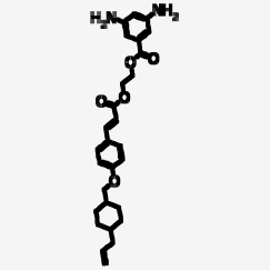 C=CCC1CCC(COc2ccc(C=CC(=O)OCCOC(=O)c3cc(N)cc(N)c3)cc2)CC1